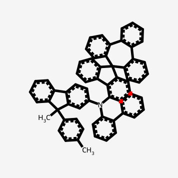 Cc1ccc(C2(C)c3ccccc3-c3ccc(N(c4ccccc4-c4ccccc4)c4cccc5c4-c4ccccc4C54c5ccccc5-c5ccccc5-c5ccccc54)cc32)cc1